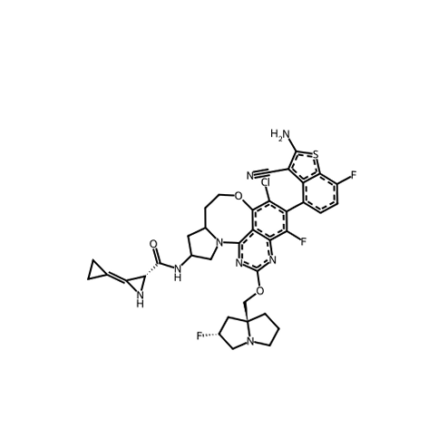 N#Cc1c(N)sc2c(F)ccc(-c3c(Cl)c4c5c(nc(OC[C@@]67CCCN6C[C@H](F)C7)nc5c3F)N3CC(NC(=O)[C@@H]5NC5=C5CC5)CC3CCO4)c12